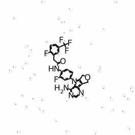 Nc1ncnc2c3c(n(-c4ccc(NC(=O)Cc5cc(C(F)(F)F)ccc5F)c(F)c4)c12)COC3